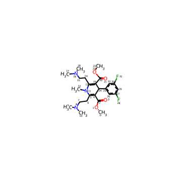 COC(=O)C1=C(CCN(C)C)N(C)C(CCN(C)C)=C(C(=O)OC)C1c1cc(F)cc(F)c1